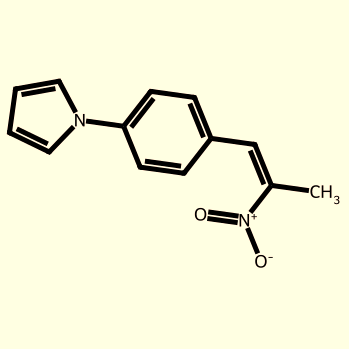 CC(=Cc1ccc(-n2cccc2)cc1)[N+](=O)[O-]